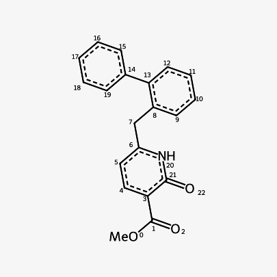 COC(=O)c1ccc(Cc2ccccc2-c2ccccc2)[nH]c1=O